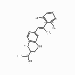 CC(=Cc1ccc2c(c1)NCC([C@H](C)O)O2)c1c(F)cccc1Cl